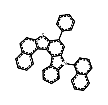 c1ccc(-c2cc3c(c4ccccc4n3-c3cccc4ccccc34)c3c2sc2ccc4ccccc4c23)cc1